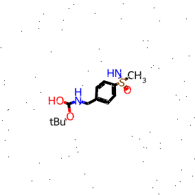 CC(C)(C)OC(O)NCc1ccc(S(C)(=N)=O)cc1